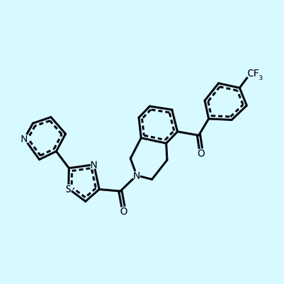 O=C(c1ccc(C(F)(F)F)cc1)c1cccc2c1CCN(C(=O)c1csc(-c3cccnc3)n1)C2